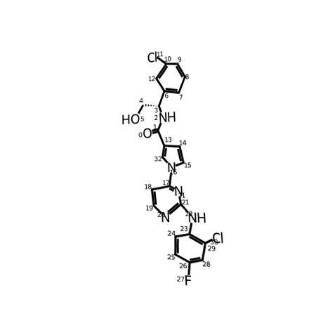 O=C(N[C@H](CO)c1cccc(Cl)c1)c1ccn(-c2ccnc(Nc3ccc(F)cc3Cl)n2)c1